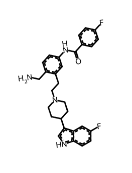 NCc1ccc(NC(=O)c2ccc(F)cc2)cc1CCN1CCC(c2c[nH]c3ccc(F)cc23)CC1